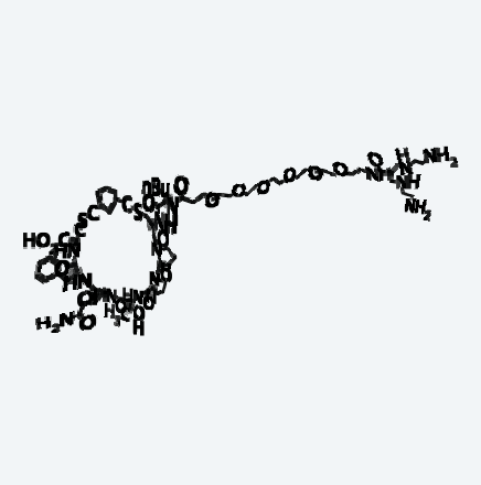 CCCC[C@H](NC(=O)CCOCCOCCOCCOCCOCCOCCNC(=O)C(CNCCN)CNCCN)C(=O)N[C@H]1CSCc2cccc(c2)CSC[C@@H](C(=O)O)NC(=O)[C@H](Cc2ccccc2)NC(=O)[C@H](CCC(N)=O)NC(=O)[C@H]([C@@H](C)O)NC(=O)[C@@H]2CCCN2C(=O)[C@@H]2CCCN2C1=O